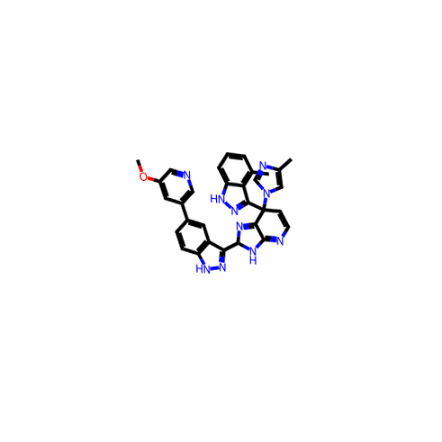 COc1cncc(-c2ccc3[nH]nc(C4N=C5C(=NC=CC5(c5n[nH]c6cccc(C)c56)n5cnc(C)c5)N4)c3c2)c1